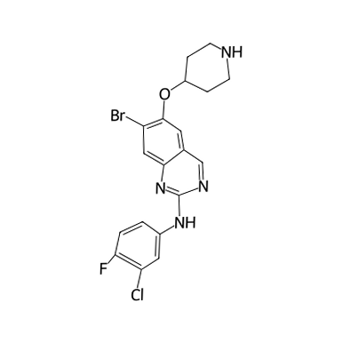 Fc1ccc(Nc2ncc3cc(OC4CCNCC4)c(Br)cc3n2)cc1Cl